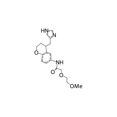 COCCOCC(=O)Nc1ccc2c(c1)C(Cc1c[nH]cn1)CCO2